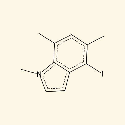 Cc1cc(C)c2c(ccn2C)c1I